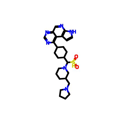 O=[SH](=O)C(C1CCC(c2ncnc3cnc4[nH]ccc4c23)CC1)N1CCCC(CN2CCCC2)C1